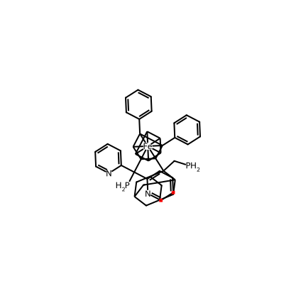 PCC1([C]23[C]4(c5ccccc5)[C]5(c6ccccc6)[CH]6[C]2(C(P)(c2ccccn2)c2ccccn2)[Fe]65432789[CH]3[CH]2[CH]7[CH]8[CH]39)C2CC3CC(C2)CC1C3